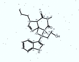 CCCN1C=NC23O[N+](CC(C)O)(c4c[nH]c5ccccc45)[N+]2(C)C(=O)N(C)C(=O)C13